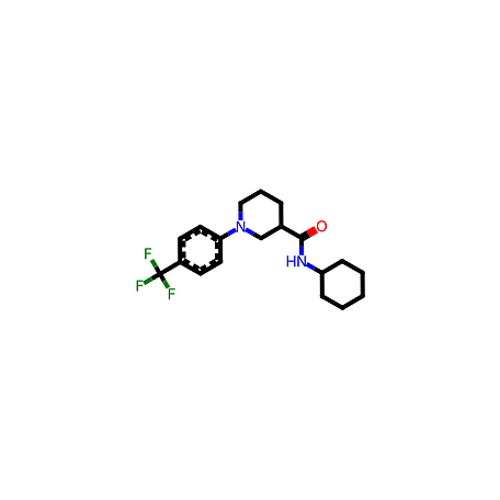 O=C(NC1CCCCC1)C1CCCN(c2ccc(C(F)(F)F)cc2)C1